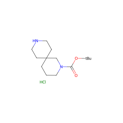 CC(C)(C)OC(=O)N1CCCC2(CCNCC2)C1.Cl